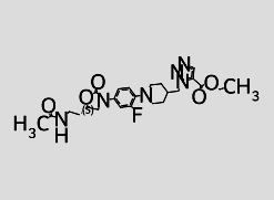 CCOC(=O)c1cnnn1CC1CCN(c2ccc(N3C[C@H](CCNC(C)=O)OC3=O)cc2F)CC1